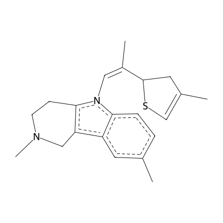 CC1=CSC(/C(C)=C\n2c3c(c4cc(C)ccc42)CN(C)CC3)C1